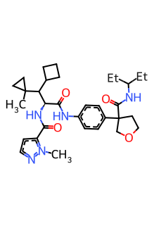 CCC(CC)NC(=O)C1(c2ccc(NC(=O)[C@@H](NC(=O)c3ccnn3C)C(C3CCC3)C3(C)CC3)cc2)CCOC1